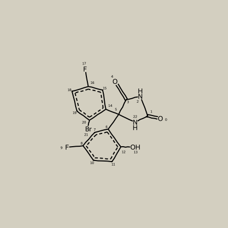 O=C1NC(=O)C(c2cc(F)ccc2O)(c2cc(F)ccc2Br)N1